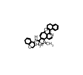 C=C1C=CC(C(=O)N[C@H]2CCOC3=C2C=CCC3)=C(N(C)C)c2ccnc(C3=CCCc4ccccc43)c21